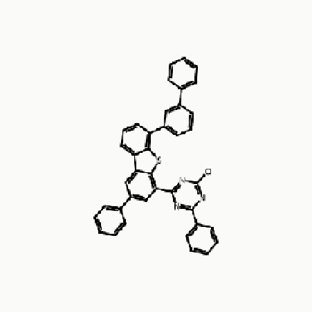 Clc1nc(-c2ccccc2)nc(-c2cc(-c3ccccc3)cc3c2sc2c(-c4cccc(-c5ccccc5)c4)cccc23)n1